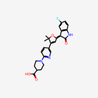 CC1(C)O/C(=C2/C(=O)Nc3ccc(F)cc32)C=C1c1ccc(N2CCC(C(=O)O)CC2)nc1